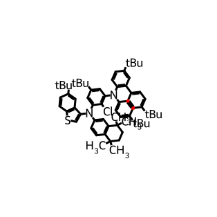 CC(C)(C)c1ccc(-c2cc(C(C)(C)C)ccc2N(c2ccc(C(C)(C)C)cc2)c2cc(C(C)(C)C)cc(N(c3ccc4c(c3)C(C)(C)CCC4(C)C)c3csc4ccc(C(C)(C)C)cc34)c2Cl)cc1